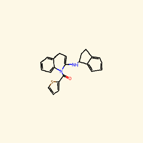 O=C(c1cccs1)N1C(N[C@@H]2CCc3ccccc32)=CCc2ccccc21